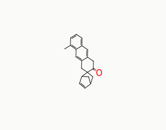 Cc1cccc2cc3c(cc12)CC1(CC2C=CC1C2)C(=O)C3